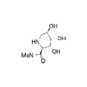 CNC(=O)[C@H]1NC[C@@H](O)[C@H](O)[C@@H]1O